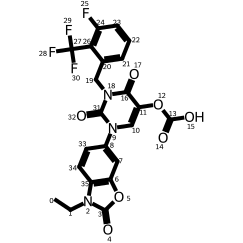 CCn1c(=O)oc2cc(-n3cc(OC(=O)O)c(=O)n(Cc4cccc(F)c4C(F)(F)F)c3=O)ccc21